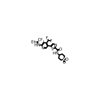 CC[C@H](Nc1cc(C(F)F)c(-c2cnc(C(=O)NC3CCS(=O)(=O)CC3)s2)cn1)C(F)(F)F